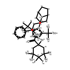 [2H]C1(C(=O)NC(CCN2C3CCC2CC(n2c(C([2H])([2H])[2H])nnc2C([2H])(C)C)C3)c2ccccc2)CC([2H])([2H])C(F)(F)C([2H])([2H])C1